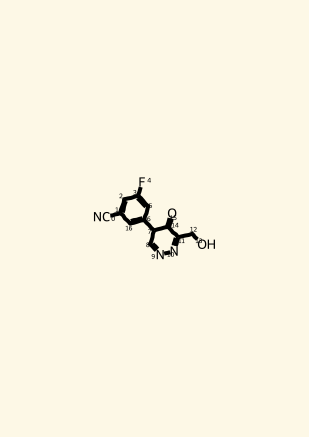 N#Cc1cc(F)cc(C2C=NN=C(CO)C2=O)c1